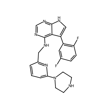 Fc1ccc(F)c(-c2c[nH]c3ncnc(NCc4cccc(N5CCNCC5)n4)c23)c1